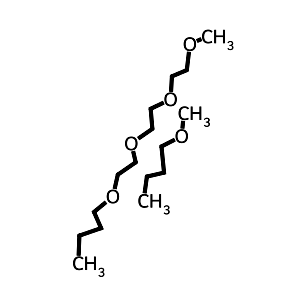 CCCCOC.CCCCOCCOCCOCCOC